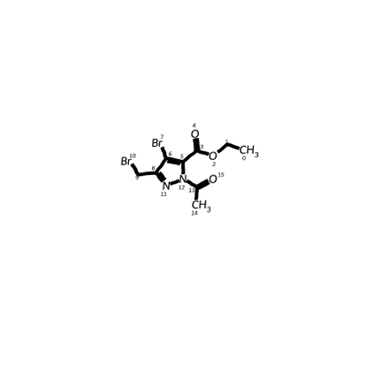 CCOC(=O)c1c(Br)c(CBr)nn1C(C)=O